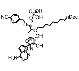 CCCCCCCCCCCCCCCCCCOC(C[C@H]1O[C@@](C#N)(c2ccc3c(N)ncnn23)[C@H](O)[C@@H]1O)[C@@H](COP(=O)(O)O)OCc1ccc(C#N)nc1